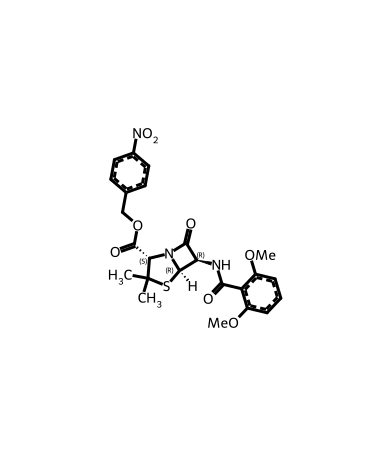 COc1cccc(OC)c1C(=O)N[C@@H]1C(=O)N2[C@@H]1SC(C)(C)[C@@H]2C(=O)OCc1ccc([N+](=O)[O-])cc1